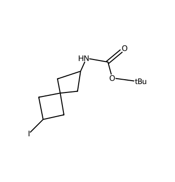 CC(C)(C)OC(=O)NC1CC2(CC(I)C2)C1